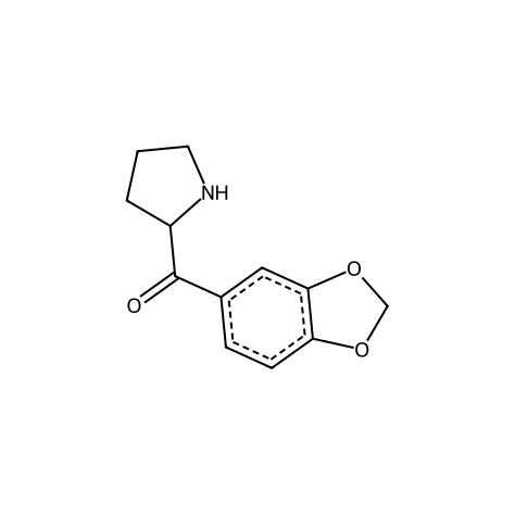 O=C(c1ccc2c(c1)OCO2)C1CCCN1